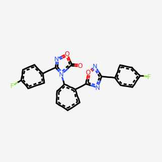 O=c1onc(-c2ccc(F)cc2)n1-c1ccccc1-c1nc(-c2ccc(F)cc2)no1